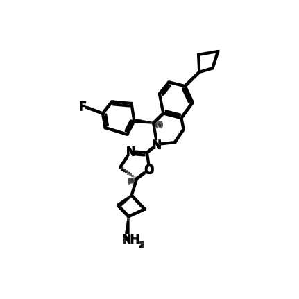 N[C@H]1C[C@@H]([C@@H]2CN=C(N3CCc4cc(C5CCC5)ccc4[C@@H]3c3ccc(F)cc3)O2)C1